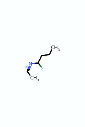 C/C=N\C(Cl)CCC